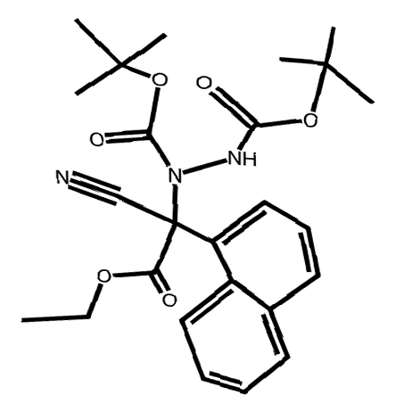 CCOC(=O)C(C#N)(c1cccc2ccccc12)N(NC(=O)OC(C)(C)C)C(=O)OC(C)(C)C